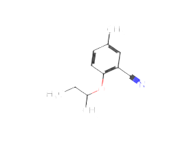 CCC(C)Oc1ccc(C)cc1C#N